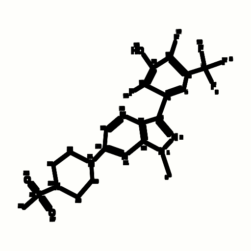 Cn1nc(-c2cc(C(F)(F)F)c(F)c(O)c2F)c2ncc(N3CCN(S(C)(=O)=O)CC3)nc21